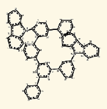 c1ccc(-c2cnc(-n3c4ccccc4c4ccccc43)c(-c3cccc(-c4nc(-c5ccccc5)nc(-c5cccc(-n6c7ccccc7c7ccccc76)c5)n4)c3)c2)cc1